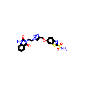 NS(=O)(=O)c1nc2ccc(OCc3cn(CCn4c(=O)[nH]c5ccccc5c4=O)nn3)cc2s1